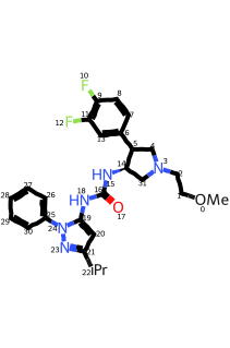 COCCN1CC(c2ccc(F)c(F)c2)[C@H](NC(=O)Nc2cc(C(C)C)nn2-c2ccccc2)C1